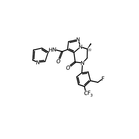 C[C@H]1CN(c2ccc(C(F)(F)F)c(CF)c2)C(=O)c2c(C(=O)Nc3cccnc3)cnn21